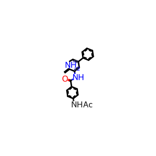 C=C(N)/C(=C\C(=C/C)c1ccccc1)NC(=O)c1ccc(NC(C)=O)cc1